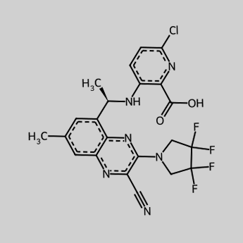 Cc1cc([C@@H](C)Nc2ccc(Cl)nc2C(=O)O)c2nc(N3CC(F)(F)C(F)(F)C3)c(C#N)nc2c1